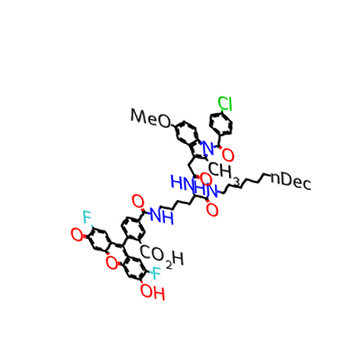 CCCCCCCCCCCCCCCCNC(=O)C(CCCCNC(=O)c1ccc(-c2c3cc(F)c(=O)cc-3oc3cc(O)c(F)cc23)c(C(=O)O)c1)NC(=O)Cc1c(C)n(C(=O)c2ccc(Cl)cc2)c2ccc(OC)cc12